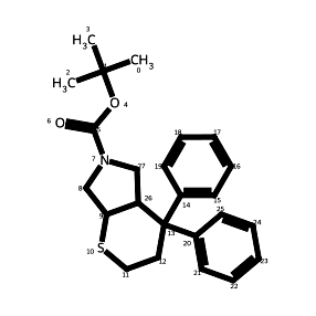 CC(C)(C)OC(=O)N1CC2SCCC(c3ccccc3)(c3ccccc3)C2C1